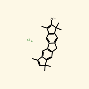 CC1=CC(C)(C)c2cc3c(cc21)-c1cc2c(cc1C3)C(C)(C)[C]([Zr+2])=C2C.[Cl-].[Cl-]